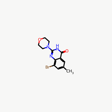 Cc1cc(Br)c2nc(N3CCOCC3)[nH]c(=O)c2c1